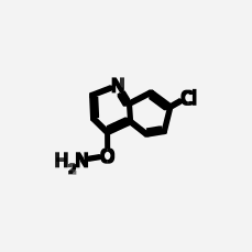 NOc1ccnc2cc(Cl)ccc12